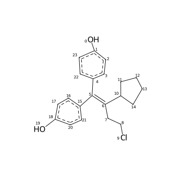 Oc1ccc(C(=C(CCCl)C2CCCC2)c2ccc(O)cc2)cc1